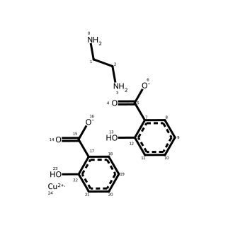 NCCN.O=C([O-])c1ccccc1O.O=C([O-])c1ccccc1O.[Cu+2]